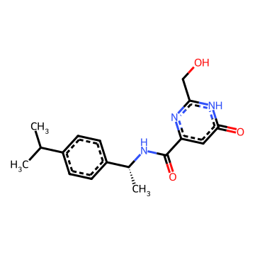 CC(C)c1ccc([C@@H](C)NC(=O)c2cc(=O)[nH]c(CO)n2)cc1